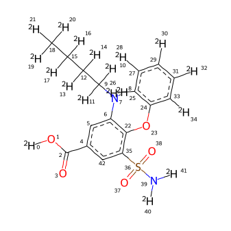 [2H]OC(=O)c1cc(N([2H])C([2H])([2H])C([2H])([2H])C([2H])([2H])C([2H])([2H])[2H])c(Oc2c([2H])c([2H])c([2H])c([2H])c2[2H])c(S(=O)(=O)N([2H])[2H])c1